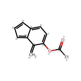 C=c1c(OC(=O)CC)ccc2c1=CC=C2